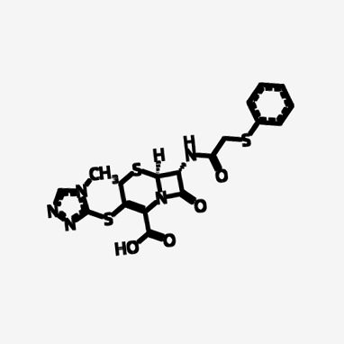 Cn1cnnc1SC1=C(C(=O)O)N2C(=O)[C@@H](NC(=O)CSc3ccccc3)[C@@H]2SC1